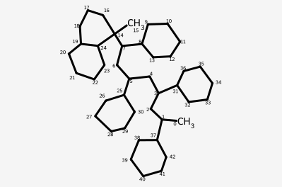 CC(CC(CC(CC(C1CCCCC1)C1(C)CCCC2CCCCC21)C1CCCCC1)C1CCCCC1)C1CCCCC1